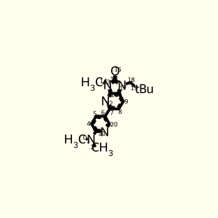 CN(C)c1ccc(-c2ccc3c(n2)n(C)c(=O)n3CC(C)(C)C)cn1